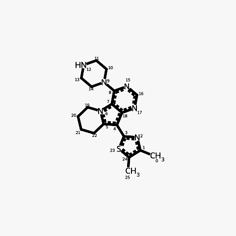 Cc1nc(-c2c3n(c4c(N5CCNCC5)ncnc24)CCCC3)sc1C